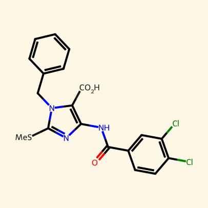 CSc1nc(NC(=O)c2ccc(Cl)c(Cl)c2)c(C(=O)O)n1Cc1ccccc1